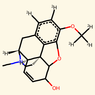 [2H]c1c([2H])c(OC([2H])([2H])[2H])c2c3c1C[C@]1([2H])[C@@H]4C=CC(O)C(O2)[C@]34CCN1C